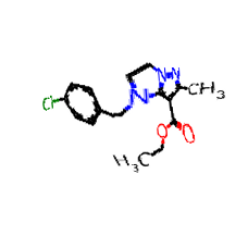 CCOC(=O)c1c(C)nn2c1N(Cc1ccc(Cl)cc1)CC2